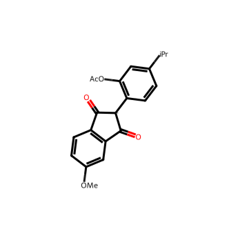 COc1ccc2c(c1)C(=O)[C](c1ccc(C(C)C)cc1OC(C)=O)C2=O